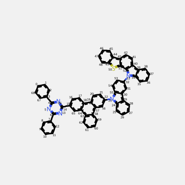 c1ccc(-c2nc(-c3ccccc3)nc(-c3ccc4c5ccc(-n6c7ccccc7c7cc(-n8c9ccccc9c9ccc%10c%11ccccc%11sc%10c98)ccc76)cc5c5ccccc5c4c3)n2)cc1